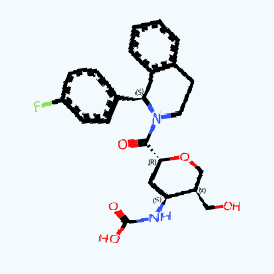 O=C(O)N[C@H]1C[C@H](C(=O)N2CCc3ccccc3[C@@H]2c2ccc(F)cc2)OC[C@H]1CO